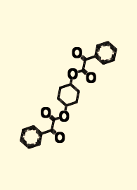 O=C(OC1CCC(OC(=O)C(=O)c2ccccc2)CC1)C(=O)c1ccccc1